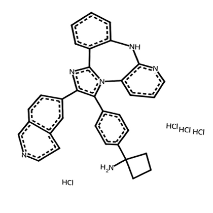 Cl.Cl.Cl.Cl.NC1(c2ccc(-c3c(-c4ccc5cnccc5c4)nc4n3-c3cccnc3Nc3ccccc3-4)cc2)CCC1